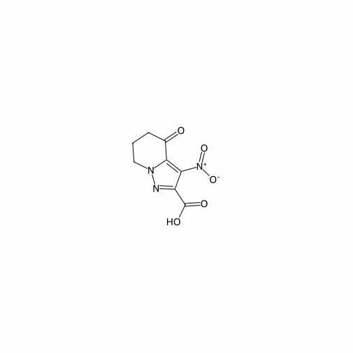 O=C(O)c1nn2c(c1[N+](=O)[O-])C(=O)CCC2